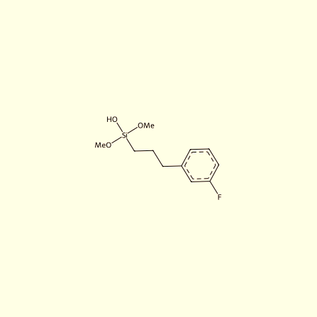 CO[Si](O)(CCCc1cccc(F)c1)OC